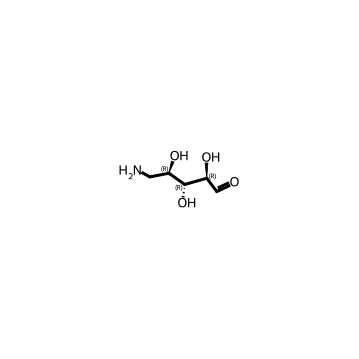 NC[C@@H](O)[C@@H](O)[C@@H](O)C=O